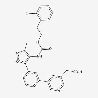 Cc1noc(-c2cccc(-c3cncc(CC(=O)O)c3)c2)c1NC(=O)OCCc1ccccc1Cl